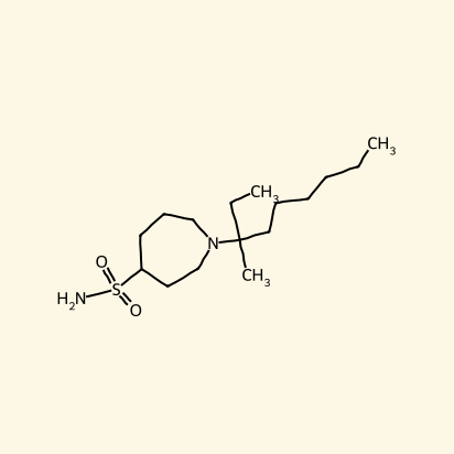 CCCCCCC(C)(CC)N1CCCC(S(N)(=O)=O)CC1